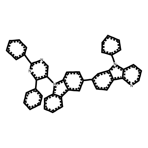 c1ccc(-c2ncc(-n3c4ccccc4c4cc(-c5ccc6c7ncccc7n(-c7ccccc7)c6c5)ccc43)c(-c3ccccc3)n2)cc1